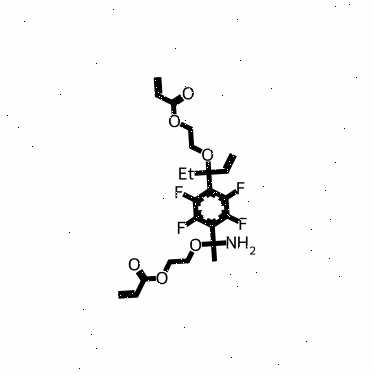 C=CC(=O)OCCOC(C)(N)c1c(F)c(F)c(C(C=C)(CC)OCCOC(=O)C=C)c(F)c1F